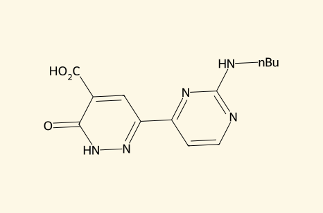 CCCCNc1nccc(-c2cc(C(=O)O)c(=O)[nH]n2)n1